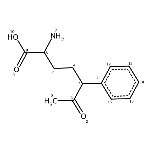 CC(=O)C(CCC(N)C(=O)O)c1ccccc1